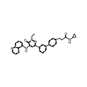 CCn1nc(-c2cccc(-c3ccc(CCC(=O)NC4CC4)cc3)c2)cc(Nc2cccc3ncccc23)c1=O